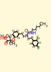 CCCCCNC(=O)N(CCc1cccc(OC(C)(CC)C(=O)O)c1)CCc1ccc(F)cc1F